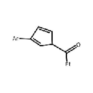 CCC(=O)C1C=CC(C(C)=O)=C1